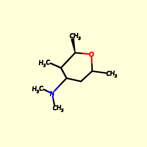 CC1CC(N(C)C)C(C)[C@@H](C)O1